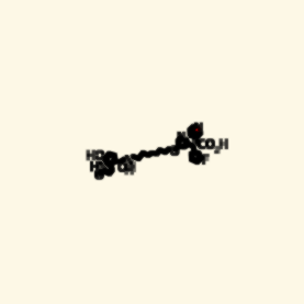 O=C(O)N(C(c1cccc(F)c1)c1cncc(OCCCCCCCCCNCC(O)c2ccc(O)c3[nH]c(=O)ccc23)c1)C1CN2CCC1CC2